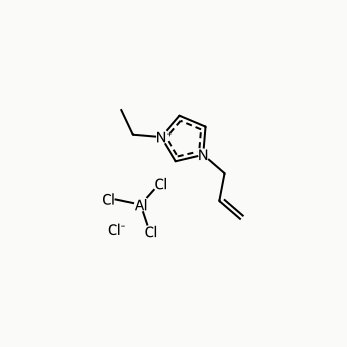 C=CCn1cc[n+](CC)c1.[Cl-].[Cl][Al]([Cl])[Cl]